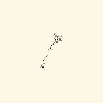 CCCCCCCCCCCCCCC(=O)CC(C)(C)C